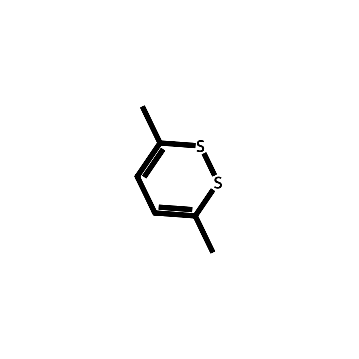 CC1=CC=C(C)SS1